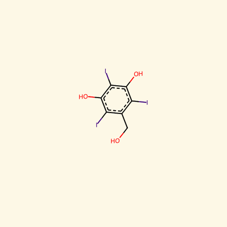 OCc1c(I)c(O)c(I)c(O)c1I